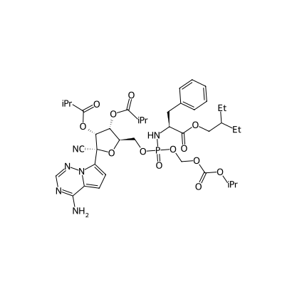 CCC(CC)COC(=O)[C@H](Cc1ccccc1)NP(=O)(OCOC(=O)OC(C)C)OC[C@H]1O[C@@](C#N)(c2ccc3c(N)ncnn23)[C@H](OC(=O)C(C)C)[C@@H]1OC(=O)C(C)C